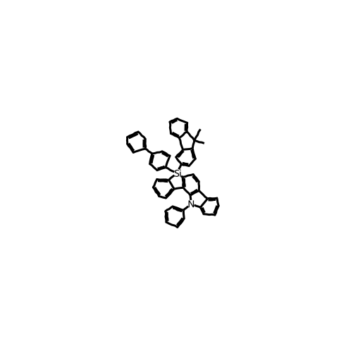 CC1(C)c2ccccc2-c2cc([Si]3(c4ccc(-c5ccccc5)cc4)c4ccccc4-c4c3ccc3c5ccccc5n(-c5ccccc5)c43)ccc21